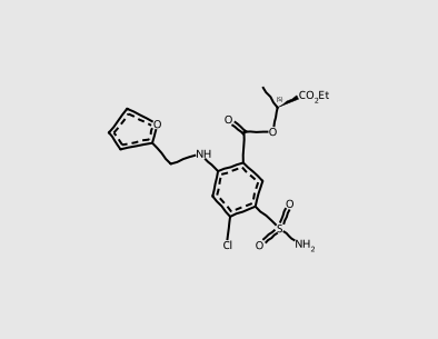 CCOC(=O)[C@H](C)OC(=O)c1cc(S(N)(=O)=O)c(Cl)cc1NCc1ccco1